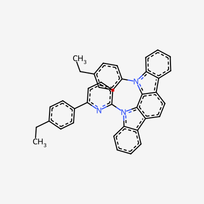 CCc1ccc(-c2cccc(-n3c4ccccc4c4ccc5c6ccccc6n(-c6ccc(CC)cc6)c5c43)n2)cc1